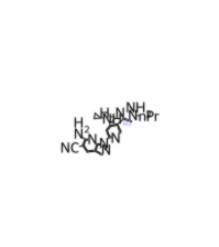 CCCN(N)/C=C(\N)c1cnc(-n2ncc3cc(C#N)c(N)nc32)cc1NC1CC1